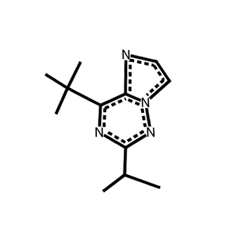 CC(C)c1nc(C(C)(C)C)c2nccn2n1